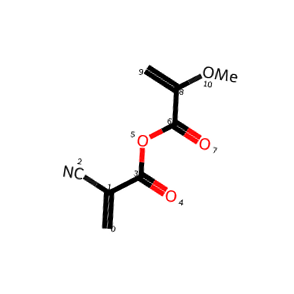 C=C(C#N)C(=O)OC(=O)C(=C)OC